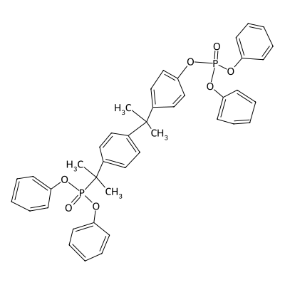 CC(C)(c1ccc(OP(=O)(Oc2ccccc2)Oc2ccccc2)cc1)c1ccc(C(C)(C)P(=O)(Oc2ccccc2)Oc2ccccc2)cc1